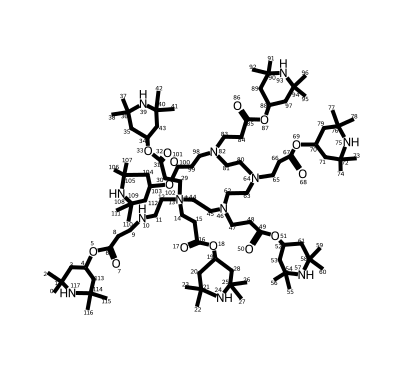 CC1(C)CC(OC(=O)CCNCC[N+](CCC(=O)OC2CC(C)(C)NC(C)(C)C2)(CCC(=O)OC2CC(C)(C)NC(C)(C)C2)CCN(CCC(=O)OC2CC(C)(C)NC(C)(C)C2)CCN(CCC(=O)OC2CC(C)(C)NC(C)(C)C2)CCN(CCC(=O)OC2CC(C)(C)NC(C)(C)C2)CCC(=O)OC2CC(C)(C)NC(C)(C)C2)CC(C)(C)N1